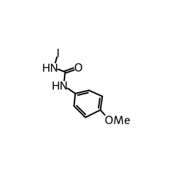 COc1ccc(NC(=O)NI)cc1